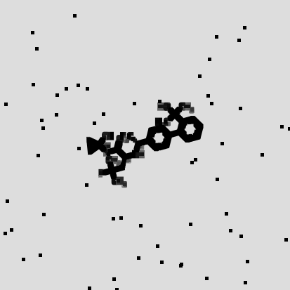 CC(C)(F)C[C@H](N[C@@H](c1ccc(-c2ccccc2C(C)(C)O)cc1)C(F)(F)F)C(=O)NC1(C#N)CC1